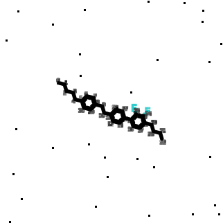 CCCCCc1ccc(CCc2ccc(-c3ccc(CCCC)c(F)c3F)cc2)cc1